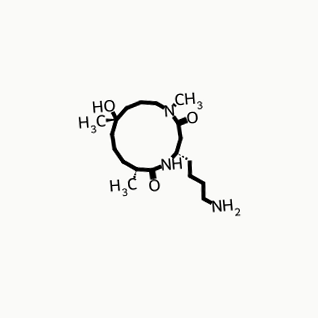 C[C@@H]1CCC[C@](C)(O)CCCN(C)C(=O)C[C@H](CCCCN)NC1=O